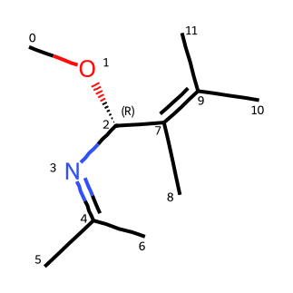 CO[C@@H](N=C(C)C)C(C)=C(C)C